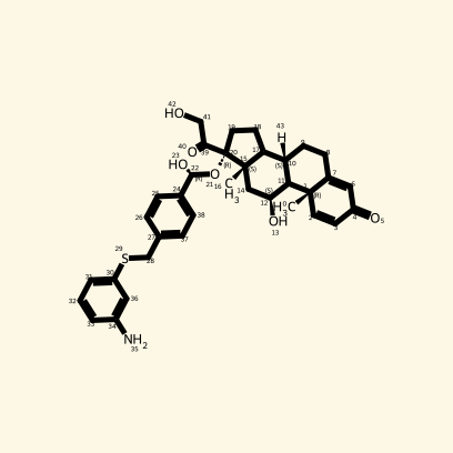 C[C@]12C=CC(=O)C=C1CC[C@@H]1C2[C@@H](O)C[C@@]2(C)C1CC[C@]2(O[C@@H](O)c1ccc(CSc2cccc(N)c2)cc1)C(=O)CO